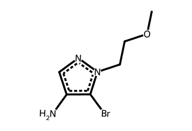 COCCn1ncc(N)c1Br